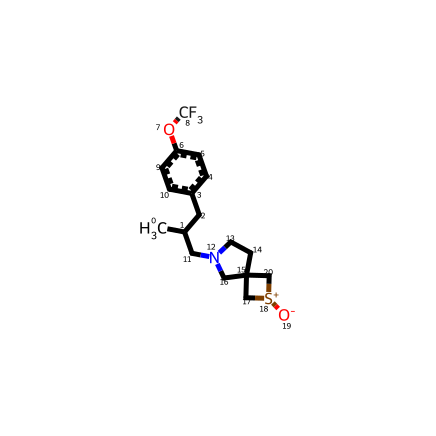 CC(Cc1ccc(OC(F)(F)F)cc1)CN1CCC2(C1)C[S+]([O-])C2